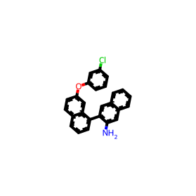 Nc1cc2ccccc2cc1-c1cccc2ccc(Oc3cccc(Cl)c3)cc12